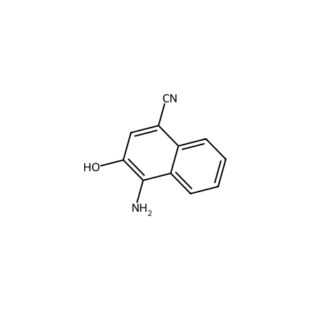 N#Cc1cc(O)c(N)c2ccccc12